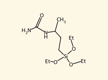 CCO[Si](CCC(C)NC(N)=O)(OCC)OCC